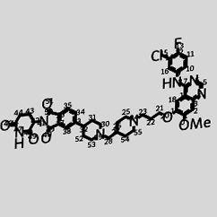 COc1cc2ncnc(Nc3ccc(F)c(Cl)c3)c2cc1OCCCN1CCC(CN2CCC(c3ccc4c(c3)C(=O)N(C3CCC(=O)NC3=O)C4=O)CC2)CC1